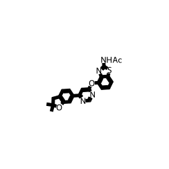 CC(=O)Nc1nc2c(Oc3cc(-c4ccc5c(c4)OC(C)(C)C5)ncn3)cccc2s1